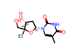 CC[C@]1(CO)O[C@@H](n2cc(C)c(=O)[nH]c2=O)C[C@H]1O